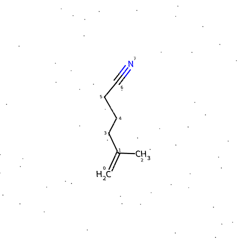 C=C(C)[CH]CCC#N